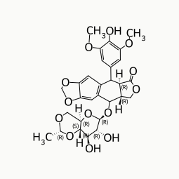 COc1cc(C2c3cc4c(cc3C(O[C@@H]3O[C@@H]5CO[C@@H](C)O[C@H]5[C@H](O)[C@H]3O)[C@H]3COC(=O)[C@H]23)OCO4)cc(OC)c1O